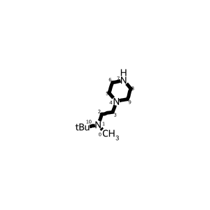 CN(CCN1CCNCC1)C(C)(C)C